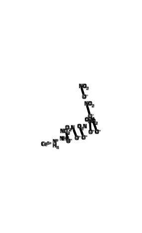 O=[N+]([O-])[O-].O=[N+]([O-])[O-].O=[N+]([O-])[O-].O=[N+]([O-])[O-].O=[N+]([O-])[O-].O=[N+]([O-])[O-].O=[N+]([O-])[O-].[Ce+5].[NH4+].[NH4+]